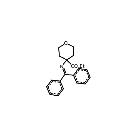 CCOC(=O)C1(N=C(c2ccccc2)c2ccccc2)CCOCC1